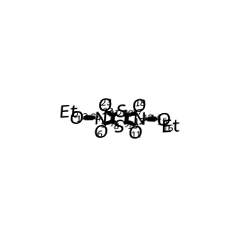 CCOC#Cn1c(=O)c2sc3c(=O)n(C#COCC)c(=O)c3sc2c1=O